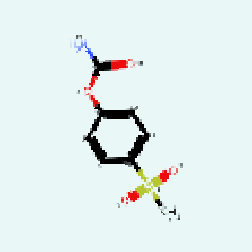 CS(=O)(=O)c1ccc(OC(N)=O)cc1